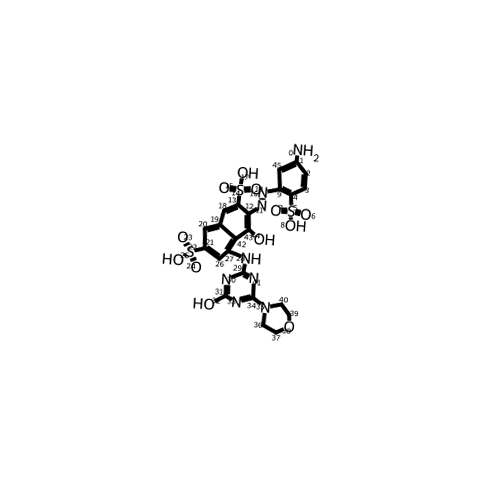 Nc1ccc(S(=O)(=O)O)c(/N=N/c2c(S(=O)(=O)O)cc3cc(S(=O)(=O)O)cc(Nc4nc(O)nc(N5CCOCC5)n4)c3c2O)c1